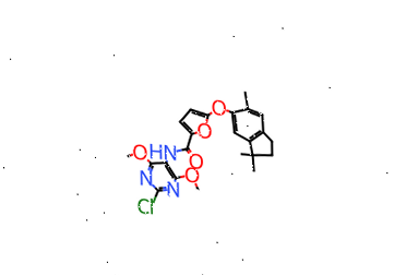 COc1nc(Cl)nc(OC)c1NC(=O)c1ccc(Oc2cc3c(cc2C)CCC3(C)C)o1